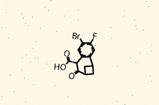 O=C(O)C1C(=O)C2CC(C2)c2cc(F)c(Br)cc21